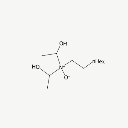 CCCCCCCC[N+]([O-])(C(C)O)C(C)O